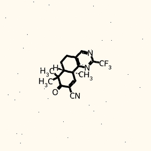 CC1(C)C(=O)C(C#N)=C[C@]2(C)c3nc(C(F)(F)F)ncc3CC[C@@H]12